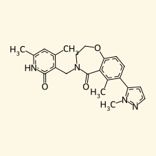 Cc1cc(C)c(CN2CCOc3ccc(-c4ccnn4C)c(C)c3C2=O)c(=O)[nH]1